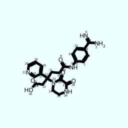 N=C(N)c1ccc(NC(=O)CCC(CC(=O)O)(c2cccnc2)N2CCNC(=O)C2=O)cc1